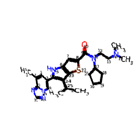 Cc1cc(-c2[nH]c3cc(C(=O)N(CCN(C)C)C4CCCC4)sc3c2C(C)C)cn2ncnc12